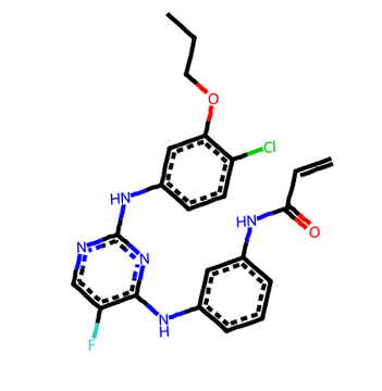 C=CC(=O)Nc1cccc(Nc2nc(Nc3ccc(Cl)c(OCCC)c3)ncc2F)c1